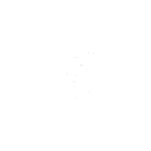 CCc1ccc(C(CCOC)N2C(=O)c3ccccc3C2=O)cc1CC